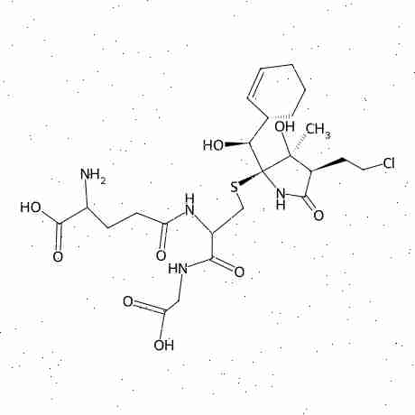 C[C@]1(O)[C@@H](CCCl)C(=O)N[C@]1(SCC(NC(=O)CCC(N)C(=O)O)C(=O)NCC(=O)O)[C@@H](O)[C@@H]1C=CCCC1